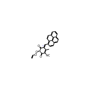 [C-]#[N+]C1=C(C)/C(=C\c2ccc3ccc4cccc5ccc2c3c45)C(=O)N(OOC=C)C1=O